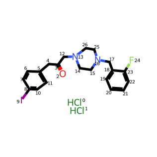 Cl.Cl.O=C(Cc1ccc(I)cc1)CN1CCN(Cc2ccccc2F)CC1